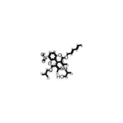 C/C=C/C=C/COC(=O)C1=C(C)NC(C)=C(C(=O)OCC(C)C)C1c1cccc([N+](=O)[O-])c1.CC(C)CO